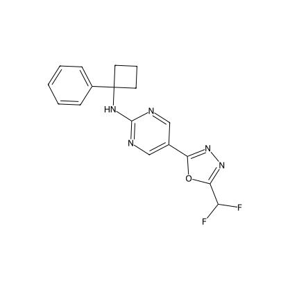 FC(F)c1nnc(-c2cnc(NC3(c4ccccc4)CCC3)nc2)o1